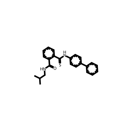 CC(C)CNC(=O)c1ccccc1C(=S)Nc1ccc(-c2ccccc2)cc1